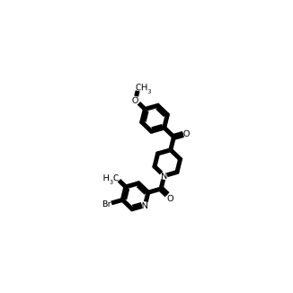 COc1ccc(C(=O)C2CCN(C(=O)c3cc(C)c(Br)cn3)CC2)cc1